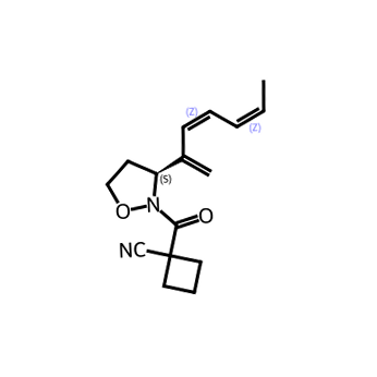 C=C(/C=C\C=C/C)[C@@H]1CCON1C(=O)C1(C#N)CCC1